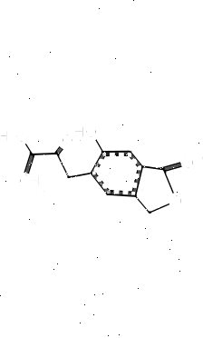 C=C(C)C(=O)Cc1cc2c(cc1O)C(=O)OC2